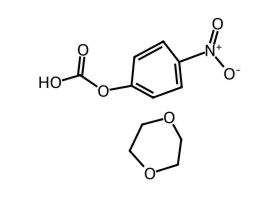 C1COCCO1.O=C(O)Oc1ccc([N+](=O)[O-])cc1